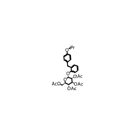 CC(=O)OC[C@H]1O[C@H](Oc2ccccc2Cc2ccc(OC(C)C)cc2)[C@H](OC(C)=O)[C@@H](OC(C)=O)[C@@H]1OC(C)=O